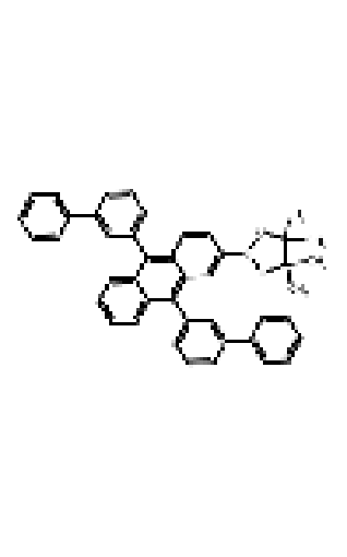 CC1(C)OB(c2ccc3c(-c4cccc(-c5ccccc5)c4)c4ccccc4c(-c4cccc(-c5ccccc5)c4)c3c2)OC1(C)C